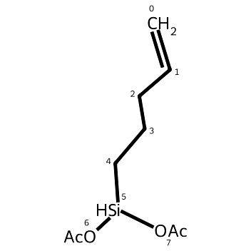 C=CCCC[SiH](OC(C)=O)OC(C)=O